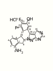 Cl.Nc1cccc2c1CC(n1nc3ncncc3c1-c1cc(O)c(F)c(F)c1)C2